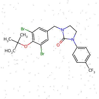 CC(C)(Oc1c(Br)cc(CN2CCN(c3ccc(C(F)(F)F)cc3)C2=O)cc1Br)C(=O)O